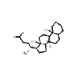 C[C@H](CCC(=O)Cl)C1CCC2[C@@H]3CCC4CCCCC4(C)C3CCC21C